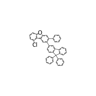 Clc1cccc2oc3cc(-c4ccccc4)c(-c4ccc5c(c4)-c4ccccc4C5(c4ccccc4)c4ccccc4)cc3c12